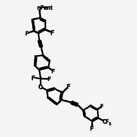 CCCCCc1cc(F)c(C#Cc2ccc(C(F)(F)Oc3ccc(C#Cc4cc(F)c(C(F)(F)F)c(F)c4)c(F)c3)c(F)c2)c(F)c1